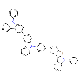 c1ccc(-n2c3ccccc3c3cc(-c4ccc5c(c4)c4ccccc4n5-c4ccc(-c5ccc6sc7c(c6c5)c5ccccc5n7-c5ccccc5)cc4)ccc32)cc1